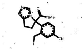 CNC(=O)C1(c2ccc(C#N)cc2CI)CCc2cncn21